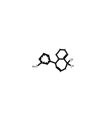 COc1cccc(C2C=CCC(C#N)(C#N)C3=CCCCC32)c1